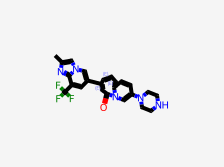 Cc1cn2cc(C3=C\C(=O)N4C=C(N5CCNCC5)C=C\C4=C/C=C/3)cc(C(F)(F)F)c2n1